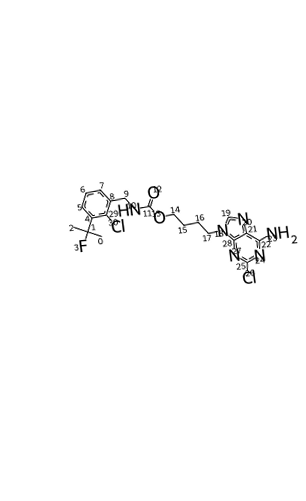 CC(C)(F)c1cccc(CNC(=O)OCCCCn2cnc3c(N)nc(Cl)nc32)c1Cl